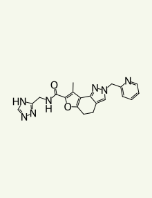 Cc1c(C(=O)NCc2nnc[nH]2)oc2c1-c1nn(Cc3ccccn3)cc1CC2